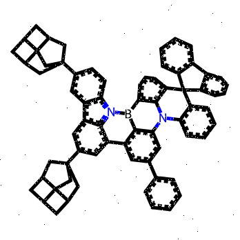 c1ccc(-c2cc3c4c(c2)N2c5ccccc5C5(c6ccccc6-c6ccccc65)c5cccc(c52)B4n2c4ccc(C56CC7CC8CC(C5)C87C6)cc4c4cc(C56CC7CC8CC(C5)C87C6)cc-3c42)cc1